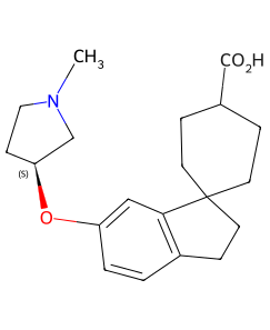 CN1CC[C@H](Oc2ccc3c(c2)C2(CC3)CCC(C(=O)O)CC2)C1